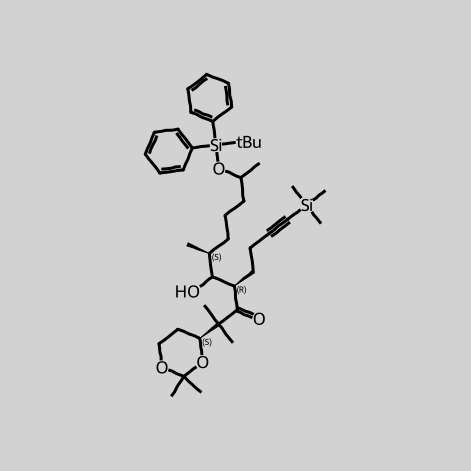 CC(CCC[C@H](C)C(O)[C@@H](CCC#C[Si](C)(C)C)C(=O)C(C)(C)[C@@H]1CCOC(C)(C)O1)O[Si](c1ccccc1)(c1ccccc1)C(C)(C)C